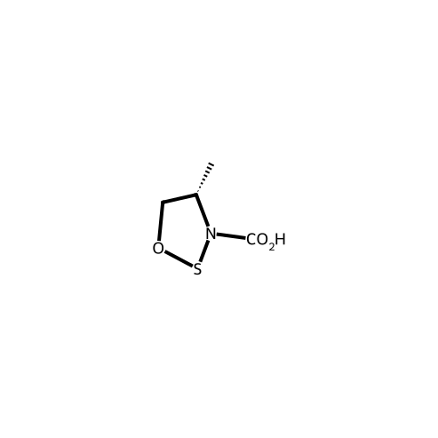 C[C@H]1COSN1C(=O)O